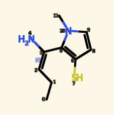 CC/C=C(/N)c1c(S)ccn1C